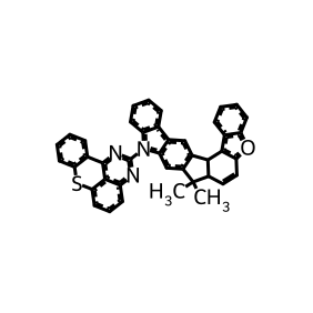 CC1(C)c2cc3c(cc2C2c4c(oc5ccccc45)C=CC21)c1ccccc1n3-c1nc2c3c(cccc3n1)Sc1ccccc1-2